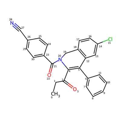 CCC(=O)C1=C(c2ccccc2)c2cc(Cl)ccc2CN1C(=O)c1ccc(C#N)cc1